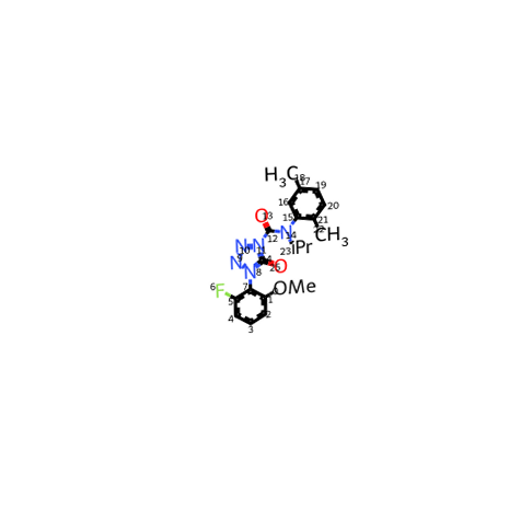 COc1cccc(F)c1-n1nnn(C(=O)N(c2cc(C)ccc2C)C(C)C)c1=O